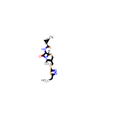 N#C[C@@H]1C[C@@H]1C(=S)NC1C(=O)N2C(C(=O)O)=C(CSc3nnc(CC(=O)O)s3)CS[C@@H]12